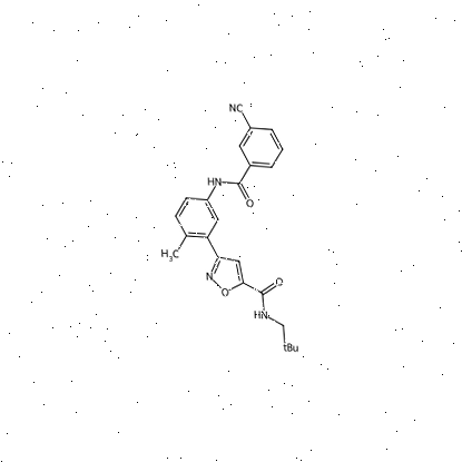 Cc1ccc(NC(=O)c2cccc(C#N)c2)cc1-c1cc(C(=O)NCC(C)(C)C)on1